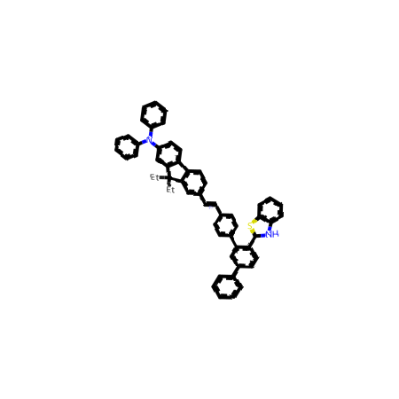 CCC1(CC)c2cc(/C=C/c3ccc(-c4cc(-c5ccccc5)ccc4C4Nc5ccccc5S4)cc3)ccc2-c2ccc(N(c3ccccc3)c3ccccc3)cc21